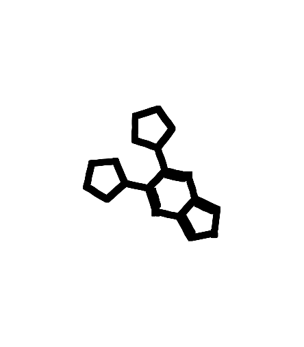 c1scc2nc(C3CCCC3)c(C3CCCC3)nc12